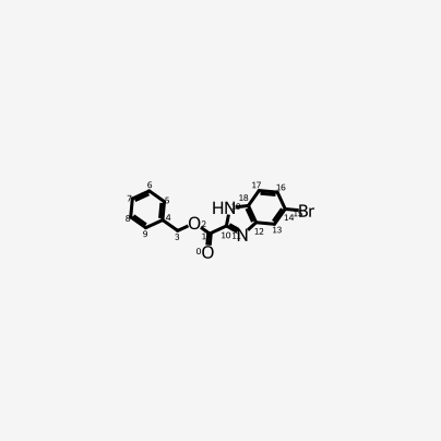 O=C(OCc1ccccc1)c1nc2cc(Br)ccc2[nH]1